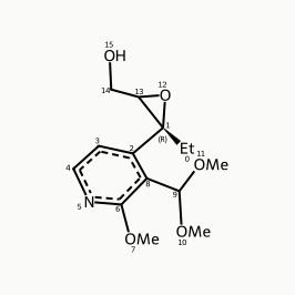 CC[C@]1(c2ccnc(OC)c2C(OC)OC)OC1CO